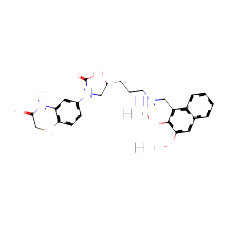 COc1cc2ccccc2c(CNCCC[C@H]2CN(c3ccc4c(c3)NC(=O)CS4)C(=O)O2)c1OC